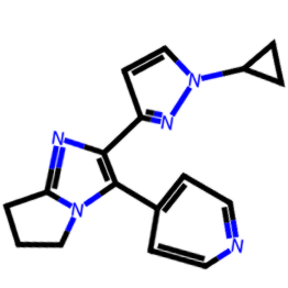 c1cc(-c2c(-c3ccn(C4CC4)n3)nc3n2CCC3)ccn1